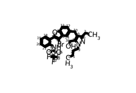 CCCCn1nc(CC)c(Cc2ccc3oc(-c4ccccc4NS(=O)(=O)C(F)(F)F)c(Br)c3c2)c1CO